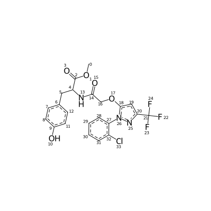 COC(=O)C(Cc1ccc(O)cc1)NC(=O)COc1cc(C(F)(F)F)nn1-c1ccccc1Cl